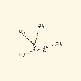 CCC=CCCOC(=O)CCC(CCCCCCC)OC(=O)N(CCCCCCCCCC)CCCCCCCCCC